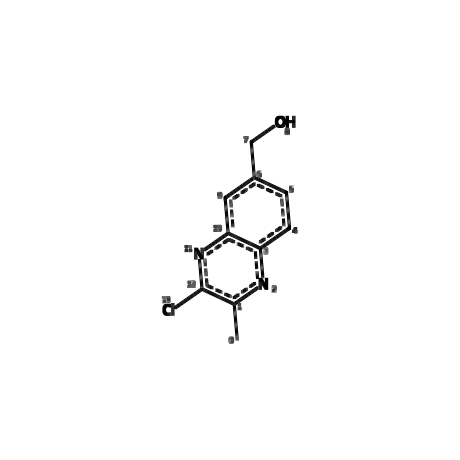 Cc1nc2ccc(CO)cc2nc1Cl